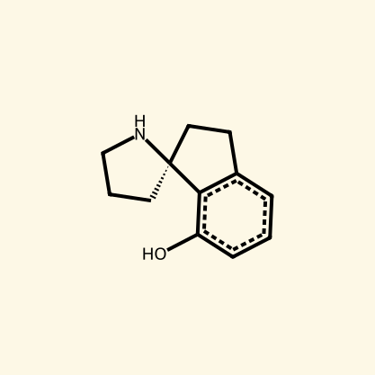 Oc1cccc2c1[C@]1(CCCN1)CC2